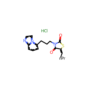 CCC/C=C1/SC(=O)N(CCCc2cccc3nccn23)C1=O.Cl